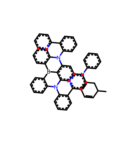 CC1C=CC=C(N(c2ccccc2)c2cc3c4c(c2)N(c2ccccc2-c2ccccn2)c2ccccc2B4c2ccccc2N3c2ccccc2-c2ccccn2)C1